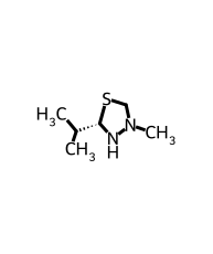 CC(C)[C@H]1NN(C)CS1